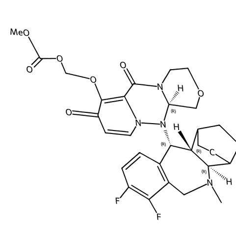 COC(=O)OCOc1c2n(ccc1=O)N([C@H]1c3ccc(F)c(F)c3CN(C)[C@@H]3C4CCC(CC4)[C@H]31)[C@@H]1COCCN1C2=O